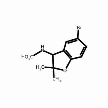 CC1(C)Oc2ccc(Br)cc2C1NC(=O)O